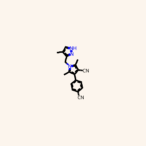 Cc1c[nH]nc1Cn1c(C)c(C#N)c(-c2ccc(C#N)cc2)c1C